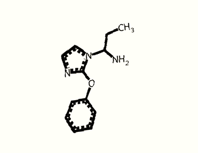 CCC(N)n1ccnc1Oc1ccccc1